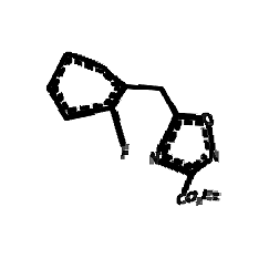 CCOC(=O)c1noc(Cc2ccccc2F)n1